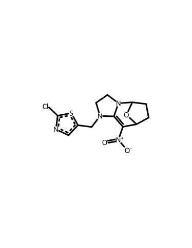 O=[N+]([O-])C1=C2N(Cc3cnc(Cl)s3)CCN2C2CCC1O2